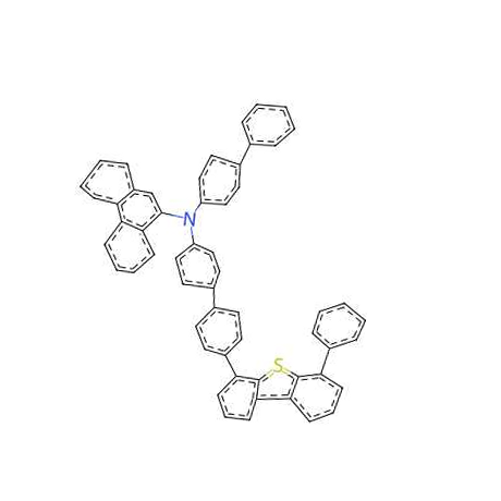 c1ccc(-c2ccc(N(c3ccc(-c4ccc(-c5cccc6c5sc5c(-c7ccccc7)cccc56)cc4)cc3)c3cc4ccccc4c4ccccc34)cc2)cc1